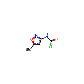 CC(C)(C)c1cc(NC(=O)Cl)no1